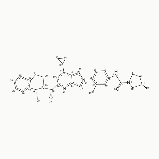 C[C@@H]1CCN(C(=O)Nc2ccc(-n3cc4nc(C(=O)N5CCc6ccccc6[C@H]5C)cc(C5CC5)c4n3)c(F)c2)C1